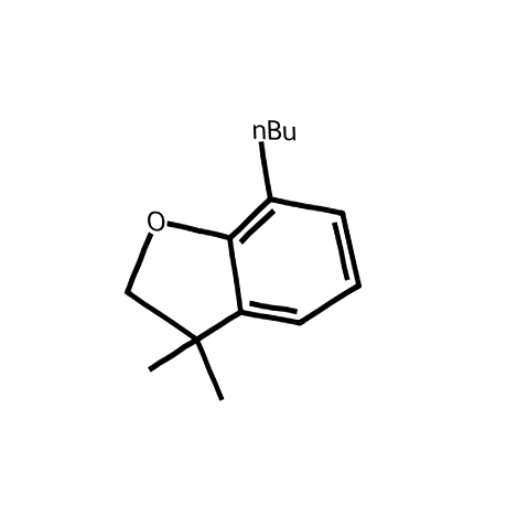 CCCCc1cccc2c1OCC2(C)C